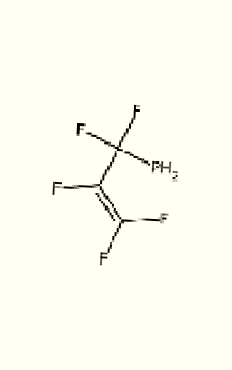 FC(F)=C(F)C(F)(F)P